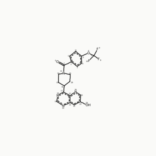 O=C(c1ccc(OC(F)(F)F)cc1)N1CCC(c2ncnc3cc(O)cnc23)CC1